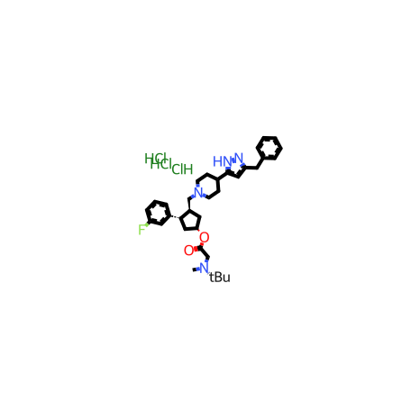 CN(CC(=O)O[C@H]1C[C@H](CN2CCC(c3cc(Cc4ccccc4)n[nH]3)CC2)[C@@H](c2cccc(F)c2)C1)C(C)(C)C.Cl.Cl.Cl